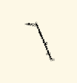 O=C(CSCSCSCCOOCSCSCSCSC(=O)CSCSCSCC[S+]([O-])CSCSCO)SCSCSCO